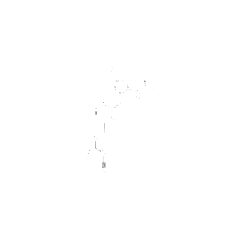 CCCc1cc(N=C(NCCNC(=NC#N)NC)NC(=O)OC)c(NC(C)=O)s1